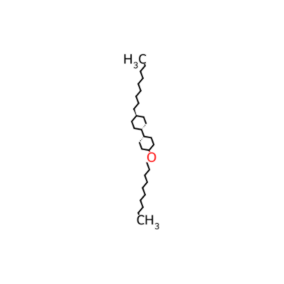 CCCCCCCCCCO[C@H]1CC[C@H]([C@H]2CC[C@H](CCCCCCCCC)CC2)CC1